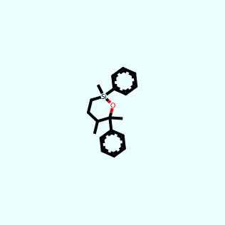 CC1CC[Si](C)(c2ccccc2)OC1(C)c1ccccc1